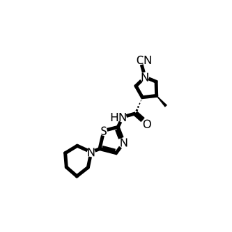 C[C@@H]1CN(C#N)C[C@H]1C(=O)Nc1ncc(N2CCCCC2)s1